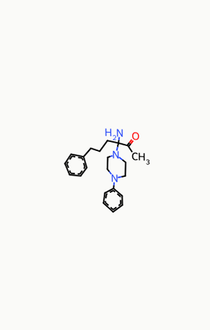 CC(=O)C(N)(CCCc1ccccc1)N1CCN(c2ccccc2)CC1